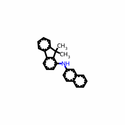 CC1(C)c2ccccc2-c2cccc(Nc3ccc4ccccc4c3)c21